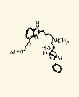 COCCOc1cccc2[nH]c(CCCN(C)CC[C@]3(O)C[C@H]4CC[C@@H]3C=C4c3ccccc3)nc12